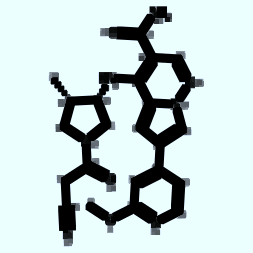 COc1cc(-c2cc3c(N[C@@H]4CN(C(=O)CC#N)C[C@@H]4C)c(C(N)=O)cnn3c2)ccn1